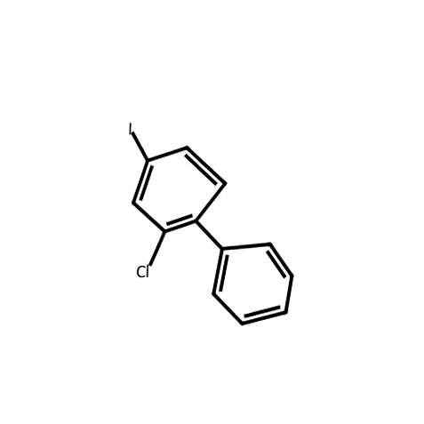 Clc1cc(I)ccc1-c1ccccc1